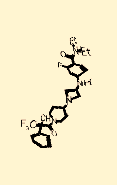 CCN(CC)C(=O)c1ccc(NC2CN(C3CCN(C(=O)C(O)(c4ccccc4)C(F)(F)F)CC3)C2)cc1F